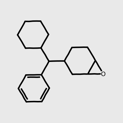 c1ccc(C(C2CCCCC2)C2CCC3OC3C2)cc1